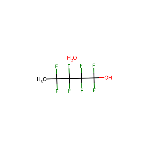 CC(F)(F)C(F)(F)C(F)(F)C(O)(F)F.O